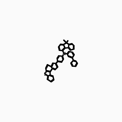 CC1(C)c2ccccc2-c2c(N(c3ccc(-c4ccc5c(ccc6sc7ccccc7c65)c4)cc3)c3cccc(-c4ccccc4)c3)cccc21